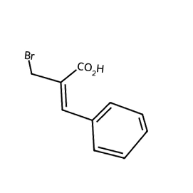 O=C(O)/C(=C\c1ccccc1)CBr